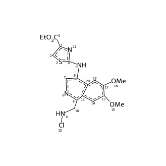 CCOC(=O)c1csc(Nc2cnc(CNCl)c3cc(OC)c(OC)cc23)n1